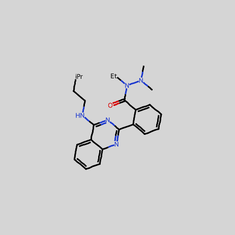 CCN(C(=O)c1ccccc1-c1nc(NCCC(C)C)c2ccccc2n1)N(C)C